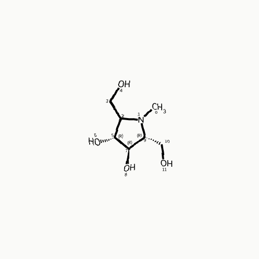 CN1C(CO)[C@@H](O)[C@H](O)[C@H]1CO